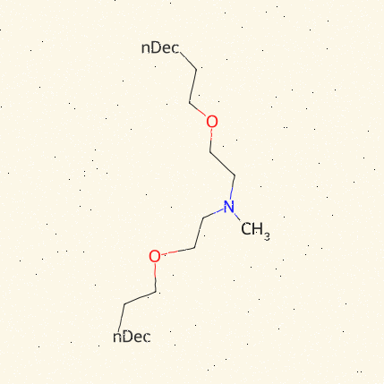 CCCCCCCCCCCCOCCN(C)CCOCCCCCCCCCCCC